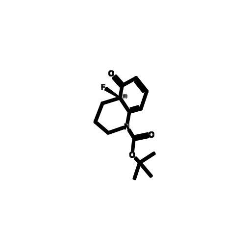 CC(C)(C)OC(=O)N1CCC[C@]2(F)C(=O)C=CC=C12